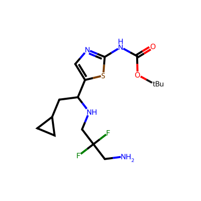 CC(C)(C)OC(=O)Nc1ncc(C(CC2CC2)NCC(F)(F)CN)s1